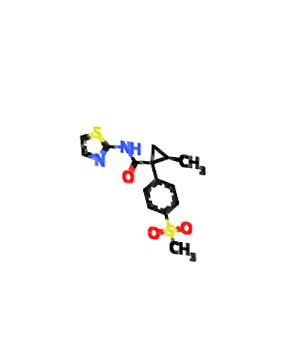 C[C@@H]1CC1(C(=O)Nc1nccs1)c1ccc(S(C)(=O)=O)cc1